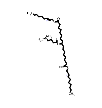 CCCCCC/C=C/CSC(=N)CCCCCCCC(CCCCCCCC(=O)SC/C=C/CCCCCC)OC(=O)CCCN(C)C